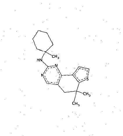 CC1(Nc2ncc3c(n2)-c2ccsc2C(C)(C)C3)CCCCC1